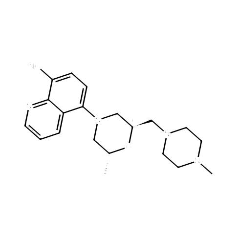 C[C@@H]1CN(c2ccc(C#N)c3ncccc23)C[C@@H](CN2CCN(C)CC2)O1